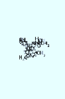 CCc1ccncc1-c1cc2cc(NC(=O)N(C)C)ncc2c(N(Cc2ccc(OC)cc2)Cc2ccc(OC)cc2)n1